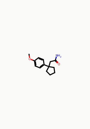 COc1ccc(C2(CC(N)=O)CCCC2)cc1